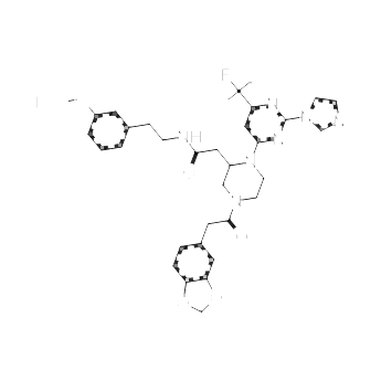 COc1cccc(CCNC(=O)CC2CN(C(=O)Cc3ccc4c(c3)OCO4)CCN2c2cc(C(F)(F)F)nc(-n3ccnc3)n2)c1